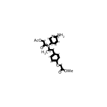 COC(=O)COc1ccc(CC(C)N(C(=O)COC(C)=O)c2ccc(N)nc2)cc1